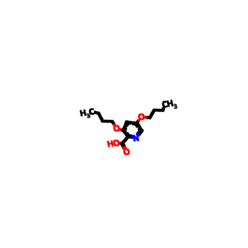 CCCCOc1cnc(C(=O)O)c(OCCCC)c1